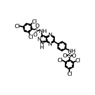 O=S(=O)(Nc1ccc(-c2cnc3c(NS(=O)(=O)c4c(Cl)cc(Cl)cc4Cl)n[nH]c3n2)cc1)c1c(Cl)cc(Cl)cc1Cl